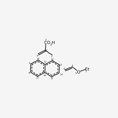 C=C(C)C(=O)O.C=COCC.c1ccc2ccccc2c1